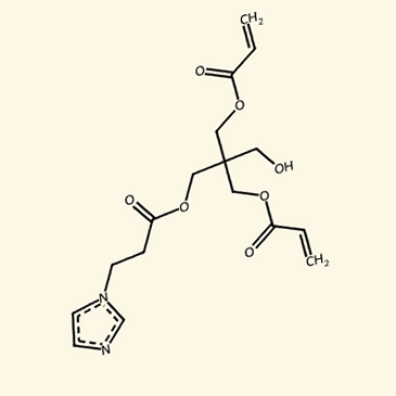 C=CC(=O)OCC(CO)(COC(=O)C=C)COC(=O)CCn1ccnc1